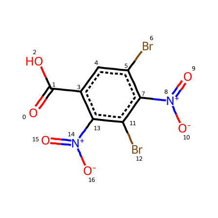 O=C(O)c1cc(Br)c([N+](=O)[O-])c(Br)c1[N+](=O)[O-]